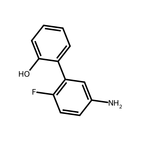 Nc1ccc(F)c(-c2ccccc2O)c1